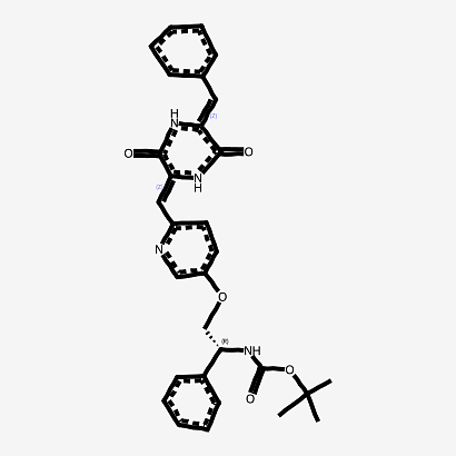 CC(C)(C)OC(=O)N[C@@H](COc1ccc(/C=c2\[nH]c(=O)/c(=C/c3ccccc3)[nH]c2=O)nc1)c1ccccc1